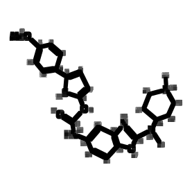 COc1ccc(-c2ccc(OC(=O)Nc3ccc4oc(N(C)C5CCN(C)CC5)nc4c3)s2)cc1